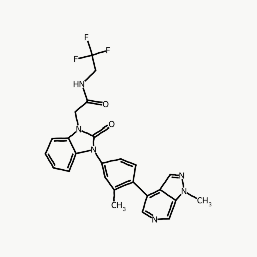 Cc1cc(-n2c(=O)n(CC(=O)NCC(F)(F)F)c3ccccc32)ccc1-c1cncc2c1cnn2C